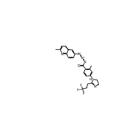 Cc1ccc2cc(N=[N+]=NC(=O)c3ccc([SH]4CCN=C4CCC(F)(F)F)cc3C)ccc2n1